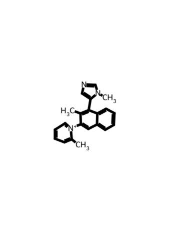 Cc1c(-[n+]2ccccc2C)cc2ccccc2c1-c1cncn1C